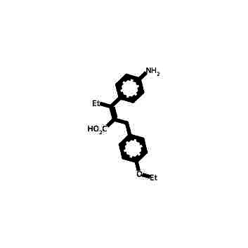 CCOc1ccc(CC(C(=O)O)=C(CC)c2ccc(N)cc2)cc1